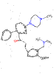 COc1ccc(/C=C/C(=O)c2cc(N3CCN(C)CC3)ccc2-c2ccccc2)cc1CN(C)C